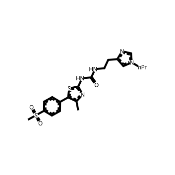 CCCn1cnc(CCNC(=O)Nc2nc(C)c(-c3ccc(S(C)(=O)=O)cc3)s2)c1